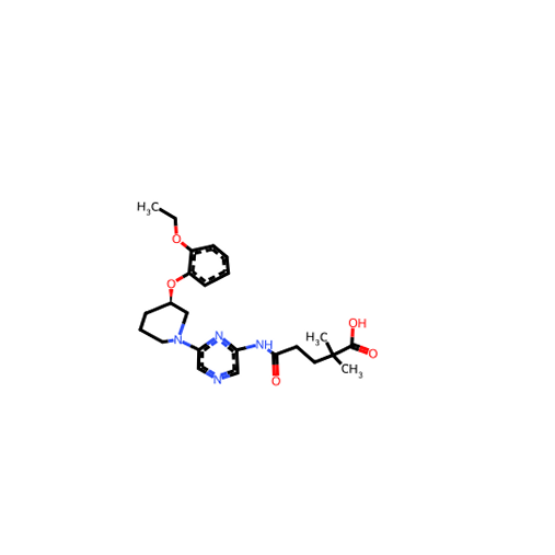 CCOc1ccccc1O[C@@H]1CCCN(c2cncc(NC(=O)CCC(C)(C)C(=O)O)n2)C1